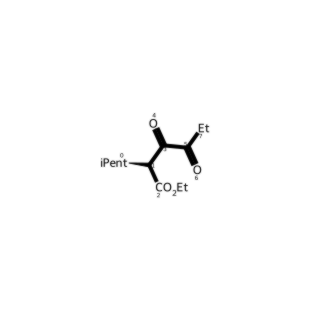 CCC[C@H](C)C(C(=O)OCC)C(=O)C(=O)CC